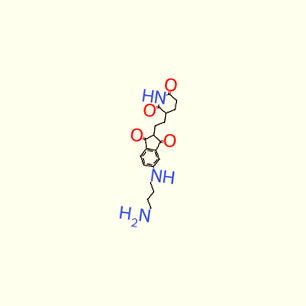 NCCCCNc1ccc2c(c1)C(=O)C(CCC1CCC(=O)NC1=O)C2=O